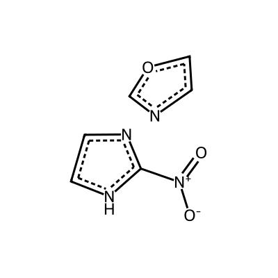 O=[N+]([O-])c1ncc[nH]1.c1cocn1